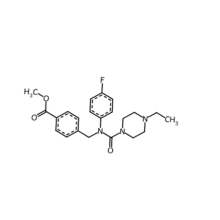 CCN1CCN(C(=O)N(Cc2ccc(C(=O)OC)cc2)c2ccc(F)cc2)CC1